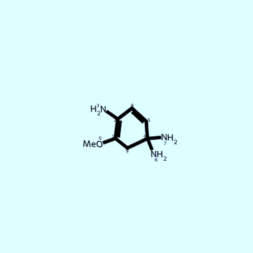 COC1=C(N)C=CC(N)(N)C1